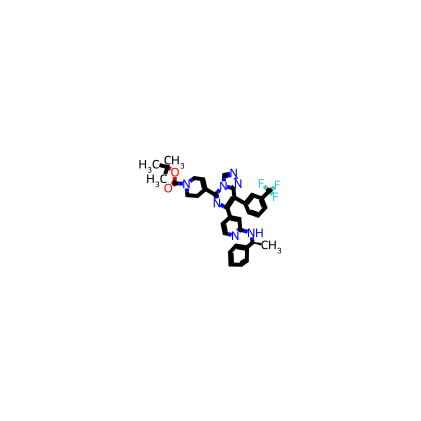 C[C@H](Nc1cc(-c2nc(C3=CCN(C(=O)OC(C)(C)C)CC3)n3cnnc3c2-c2cccc(C(F)(F)F)c2)ccn1)c1ccccc1